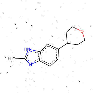 Cc1nc2ccc(C3CCOCC3)cc2[nH]1